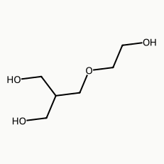 OCCOCC(CO)CO